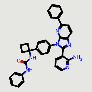 Nc1ncccc1-c1nc2ccc(-c3ccccc3)nc2n1-c1ccc(C2(NC(=O)Nc3ccccc3)CCC2)cc1